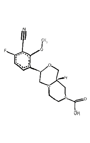 COc1c([C@@H]2CN3CCN(C(=O)O)C[C@H]3CO2)ccc(F)c1C#N